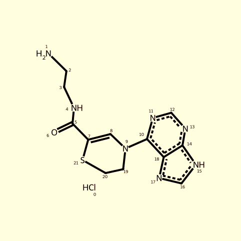 Cl.NCCNC(=O)C1=CN(c2ncnc3[nH]cnc23)CCS1